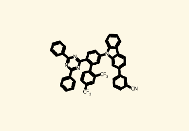 N#Cc1cccc(-c2ccc3c4ccccc4n(-c4ccc(-c5nc(-c6ccccc6)nc(-c6ccccc6)n5)c(-c5ccc(C(F)(F)F)cc5C(F)(F)F)c4)c3c2)c1